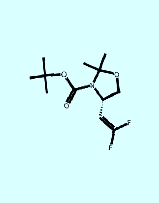 CC(C)(C)OC(=O)N1[C@@H](C=C(F)F)COC1(C)C